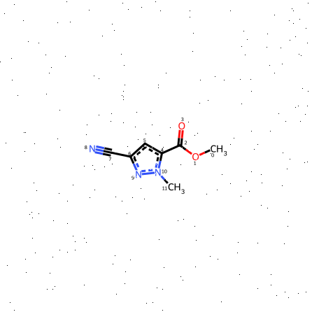 COC(=O)c1cc(C#N)nn1C